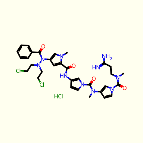 CN(CCC(=N)N)C(=O)n1ccc(N(C)C(=O)n2ccc(NC(=O)c3cc(N(C(=O)c4ccccc4)N(CCCl)CCCl)cn3C)c2)c1.Cl